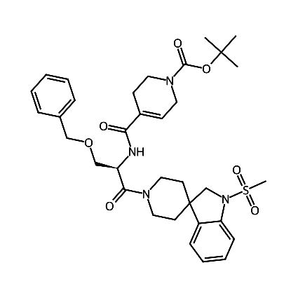 CC(C)(C)OC(=O)N1CC=C(C(=O)N[C@H](COCc2ccccc2)C(=O)N2CCC3(CC2)CN(S(C)(=O)=O)c2ccccc23)CC1